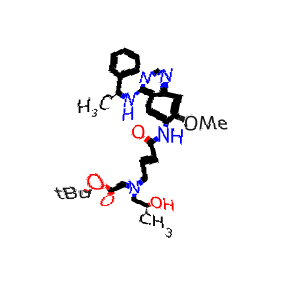 COc1cc2ncnc(N[C@H](C)c3ccccc3)c2cc1NC(=O)C=CCN(CC(=O)OC(C)(C)C)C[C@@H](C)O